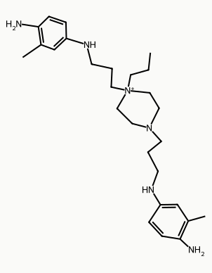 CCC[N+]1(CCCNc2ccc(N)c(C)c2)CCN(CCCNc2ccc(N)c(C)c2)CC1